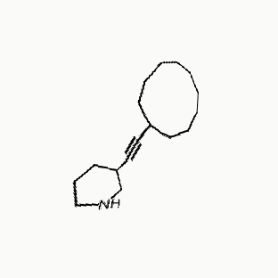 C(#CC1CCCNC1)C1CCCCCCCCC1